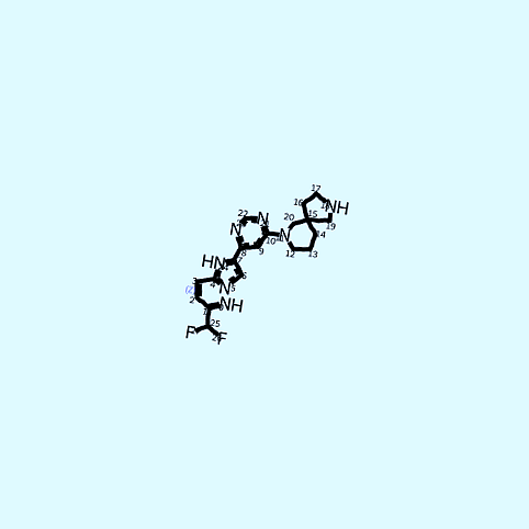 N=C(/C=C\c1ncc(-c2cc(N3CCCC4(CCNC4)C3)ncn2)[nH]1)C(F)F